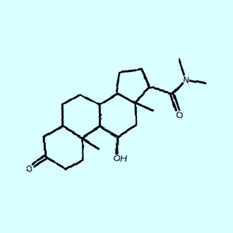 CN(C)C(=O)C1CCC2C3CCC4CC(=O)CCC4(C)C3C(O)CC12C